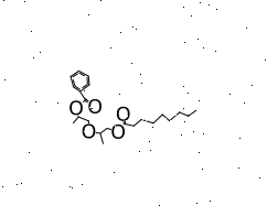 CCCCCCCCC(=O)OCC(C)OCC(C)OC(=O)c1ccccc1